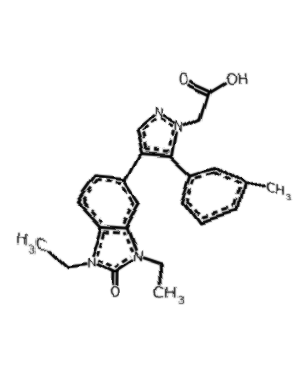 CCn1c(=O)n(CC)c2cc(-c3cnn(CC(=O)O)c3-c3cccc(C)c3)ccc21